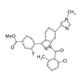 COC(=O)c1ccc(-c2nn(C(=O)c3c(C)cccc3Cl)c3cc(-c4cn(C)cn4)ccc23)c(F)c1